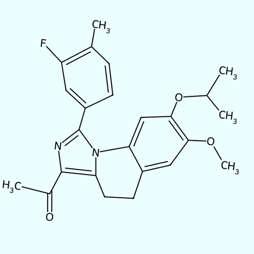 COc1cc2c(cc1OC(C)C)-n1c(-c3ccc(C)c(F)c3)nc(C(C)=O)c1CC2